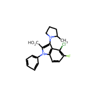 CC1CCCN1c1c(C(=O)O)n(-c2ccccc2)c2ccc(F)c(Cl)c12